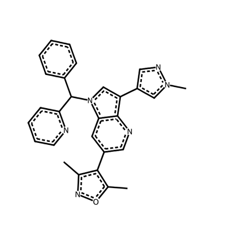 Cc1noc(C)c1-c1cnc2c(-c3cnn(C)c3)cn(C(c3ccccc3)c3ccccn3)c2c1